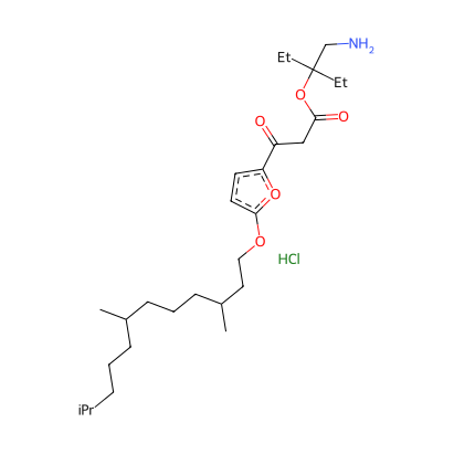 CCC(CC)(CN)OC(=O)CC(=O)c1ccc(OCCC(C)CCCC(C)CCCC(C)C)o1.Cl